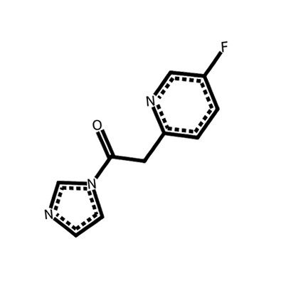 O=C(Cc1ccc(F)cn1)n1ccnc1